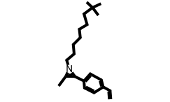 C=Cc1ccc(C2=C(C)N2CCCCCCCC(C)(C)C)cc1